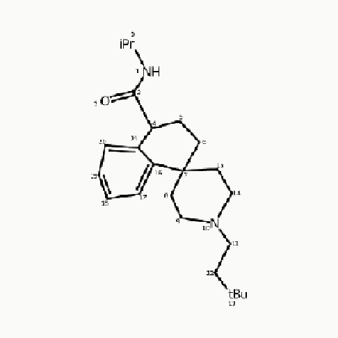 CC(C)NC(=O)C1CCC2(CCN(CCC(C)(C)C)CC2)c2ccccc21